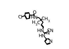 CC(C)(CC=CNC(=NC#N)Nc1cccnc1)CNC(=O)c1ccc(Cl)cc1